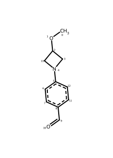 COC1CN(c2ccc(C=O)cc2)C1